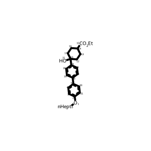 CCCCCCCOc1ccc(-c2ccc(C3(O)CCC(C(=O)OCC)CC3)cc2)cc1